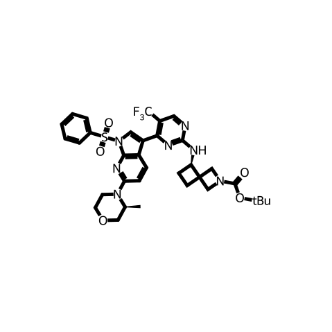 C[C@H]1COCCN1c1ccc2c(-c3nc(N[C@@H]4CCC45CN(C(=O)OC(C)(C)C)C5)ncc3C(F)(F)F)cn(S(=O)(=O)c3ccccc3)c2n1